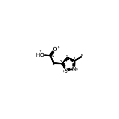 Cc1cc(CC(=O)O)sn1